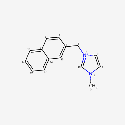 Cn1cc[n+](Cc2ccc3ccccc3c2)c1